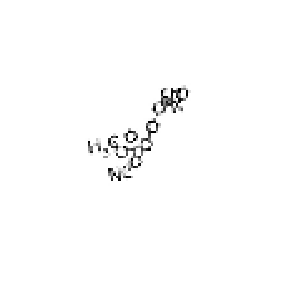 CC1C=C(C2(c3ccccc3)c3cc(C#N)ccc3-c3ccc(-c4ccc(-c5ccc6sc7c(nc8ccccn87)c6c5)cc4)cc32)C=CC1